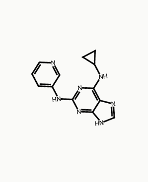 c1cncc(Nc2nc(NC3CC3)c3nc[nH]c3n2)c1